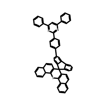 C1=CC2C=CC3=C(Sc4c(ccc5ccccc45)C34c3ccccc3-c3cc(-c5ccc(-c6nc(-c7ccccc7)cc(-c7ccccc7)n6)cc5)ccc34)C2C=C1